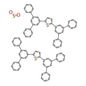 O=S=O.c1ccc(-c2cc(-c3ccccc3)cc(-c3ccc(-c4cc(-c5ccccc5)cc(-c5ccccc5)c4)s3)c2)cc1.c1ccc(-c2cc(-c3ccccc3)cc(-c3ccc(-c4cc(-c5ccccc5)cc(-c5ccccc5)c4)s3)c2)cc1